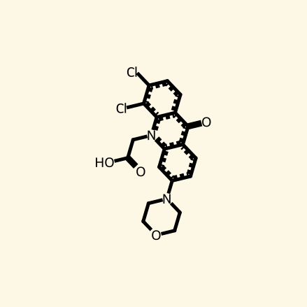 O=C(O)Cn1c2cc(N3CCOCC3)ccc2c(=O)c2ccc(Cl)c(Cl)c21